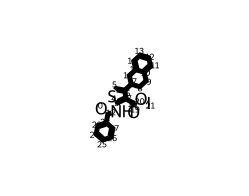 O=C(Nc1scc(C2CCc3ccccc3C2)c1C(=O)OI)c1ccccc1